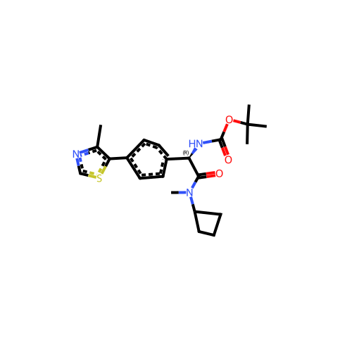 Cc1ncsc1-c1ccc([C@@H](NC(=O)OC(C)(C)C)C(=O)N(C)C2CCC2)cc1